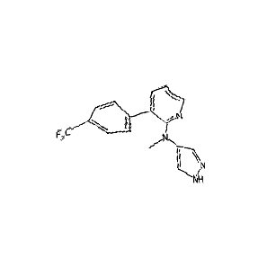 CN(c1cn[nH]c1)c1ncccc1-c1ccc(C(F)(F)F)cc1